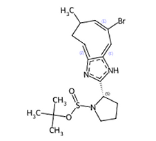 CC1\C=C(Br)/C=c2/[nH]c([C@@H]3CCCN3S(=O)OC(C)(C)C)n/c2=C\C1